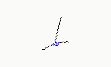 CCCCCCCCCCCCCCc1n(CCCCCCC)cc[n+]1CCCCCC